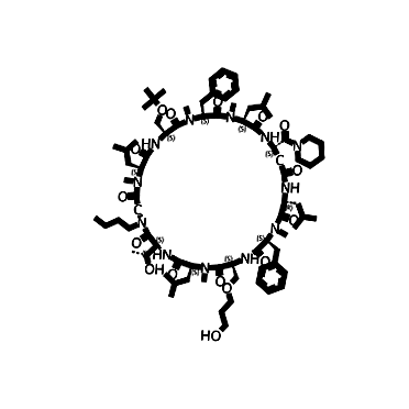 CCCCN1CC(=O)N(C)[C@@H](CC(C)C)C(=O)N[C@@H](COC(C)(C)C)C(=O)N(C)[C@@H](Cc2ccccc2)C(=O)N(C)[C@@H](CC(C)C)C(=O)N[C@H](C(=O)N2CCCCC2)CC(=O)N[C@H](CC(C)C)C(=O)N(C)[C@@H](Cc2ccccc2)C(=O)N[C@@H](COCCCO)C(=O)N(C)[C@@H](CC(C)C)C(=O)N[C@@H]([C@@H](C)O)C1=O